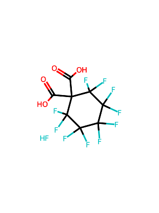 F.O=C(O)C1(C(=O)O)C(F)(F)C(F)(F)C(F)(F)C(F)(F)C1(F)F